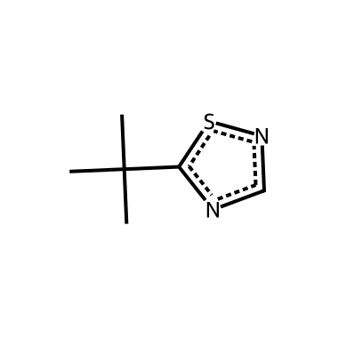 CC(C)(C)c1ncns1